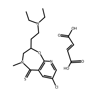 CCN(CC)CCC1CN(C)C(=S)c2cc(Cl)cnc2O1.O=C(O)/C=C/C(=O)O